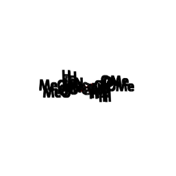 COC(=O)N[C@H](C(=O)N1[C@H](c2nc3cc(-c4cc5ccc4CCc4ccc(c(-c6ccc7[nH]c([C@@H]8C[C@@H]9CCCC[C@@H]9N8C(=O)[C@@H](NC(=O)OC)[C@@H](C)OC)nc7c6)c4)C[C@H]5C)ccc3[nH]2)C[C@@H]2CCCC[C@@H]21)[C@@H](C)OC